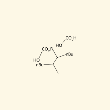 CCCCC(C)C(C)CCCC.O=C(O)O.O=C(O)O